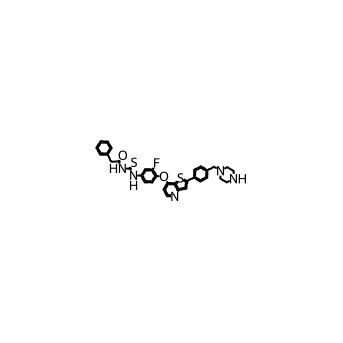 O=C(Cc1ccccc1)NC(=S)Nc1ccc(Oc2ccnc3cc(-c4ccc(CN5CCNCC5)cc4)sc23)c(F)c1